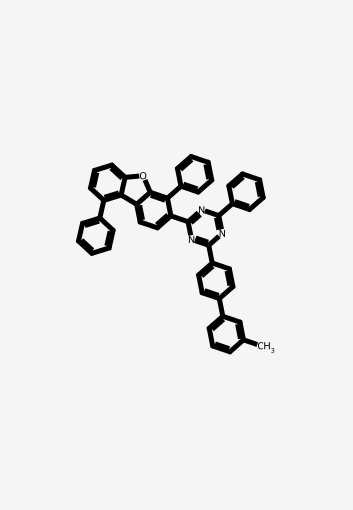 Cc1cccc(-c2ccc(-c3nc(-c4ccccc4)nc(-c4ccc5c(oc6cccc(-c7ccccc7)c65)c4-c4ccccc4)n3)cc2)c1